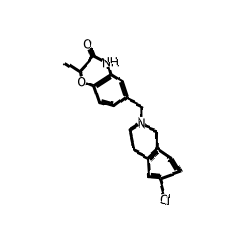 CC1Oc2ccc(CN3CCc4cc(Cl)ccc4C3)cc2NC1=O